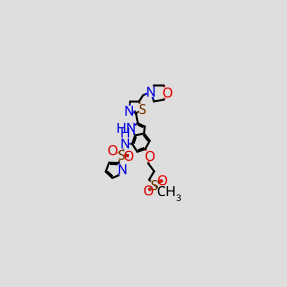 CS(=O)(=O)CCCOc1cc(NS(=O)(=O)c2ccccn2)c2[nH]c(C3=NCC(CN4CCOCC4)S3)cc2c1